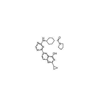 O=C([C@H]1CC[C@H](Nc2nccc(-c3ccc4nc(C5CC5)nc(O)c4c3)n2)CC1)N1CCCC1